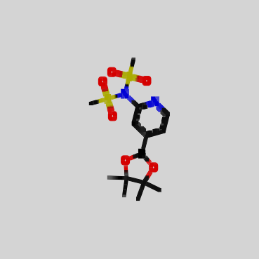 CC1(C)OB(c2ccnc(N(S(C)(=O)=O)S(C)(=O)=O)c2)OC1(C)C